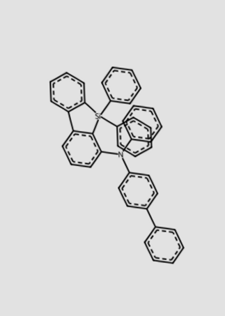 c1ccc(-c2ccc(N(c3ccccc3)c3cccc4c3[Si](c3ccccc3)(c3ccccc3)c3ccccc3-4)cc2)cc1